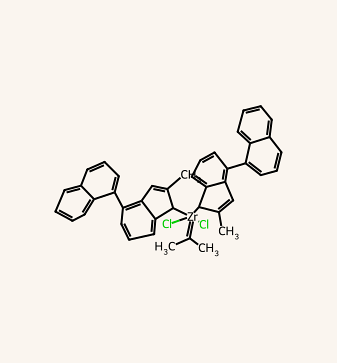 CC1=Cc2c(-c3cccc4ccccc34)cccc2[CH]1[Zr]([Cl])([Cl])(=[C](C)C)[CH]1C(C)=Cc2c(-c3cccc4ccccc34)cccc21